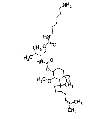 COC1C(OC(=O)N[C@@H](COC(=O)NCCCCCCN)C(C)C)CC[C@]2(CO2)C1[C@@]1(C)CC[C@@H]1CC=C(C)C